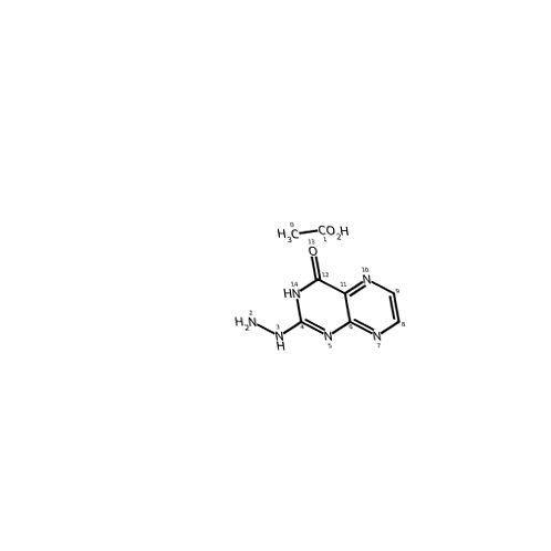 CC(=O)O.NNc1nc2nccnc2c(=O)[nH]1